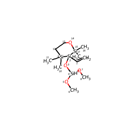 C=C[Si]1(O[SiH](OC)OC)[Si](C)(C)CCO[Si]1(C)C